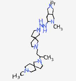 CC(C)N1CC2CC(NNN3CCC4(CCN(CCC(C)N5CCC6(CCN(C)CC6)C5)C4)C3)N(C)CC2C1